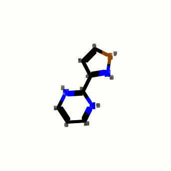 c1cnc(-c2ccsn2)nc1